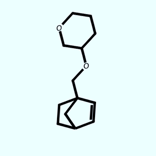 C1=CC2(COC3CCCOC3)CCC1C2